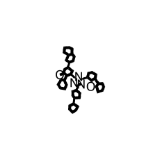 c1ccc(-c2ccc(-c3nc(-c4cccc5c4oc4ccccc45)nc(-c4cc(-c5ccc6ccccc6c5)cc5oc6ccccc6c45)n3)cc2)cc1